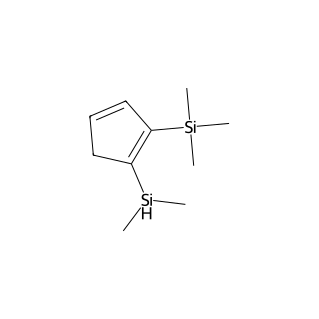 C[SiH](C)C1=C([Si](C)(C)C)C=CC1